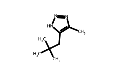 Cc1nn[nH]c1CC(C)(C)C